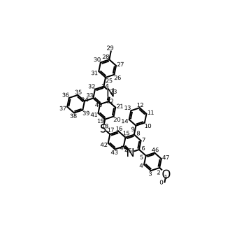 COc1ccc(-c2cc(-c3ccccc3)c3cc(Sc4ccc5nc(-c6ccc(C)cc6)cc(-c6ccccc6)c5c4)ccc3n2)cc1